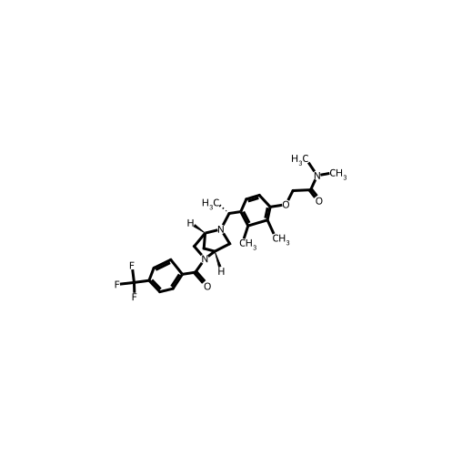 Cc1c(OCC(=O)N(C)C)ccc([C@@H](C)N2C[C@H]3C[C@@H]2CN3C(=O)c2ccc(C(F)(F)F)cc2)c1C